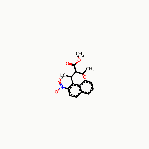 COC(=O)C(C(C)=O)C(C)c1c([N+](=O)[O-])ccc2ccccc12